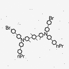 CCCc1ccc(-c2ccc(N(c3ccc(-c4ccc(Br)cc4)cc3)c3ccc(-c4cc(C)c(-c5ccc(N(c6ccc(-c7ccc(Br)cc7)cc6)c6ccc(-c7ccc(CCC)cc7)cc6)cc5C)cc4C)c(C)c3)cc2)cc1